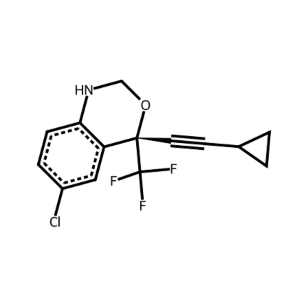 FC(F)(F)[C@@]1(C#CC2CC2)OCNc2ccc(Cl)cc21